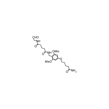 COc1cc(OCCCCC(N)=O)cc(OC)c1CNC(=O)CCCC(=O)NCC=O